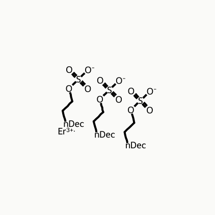 CCCCCCCCCCCCOS(=O)(=O)[O-].CCCCCCCCCCCCOS(=O)(=O)[O-].CCCCCCCCCCCCOS(=O)(=O)[O-].[Er+3]